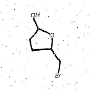 OC1CCC(CBr)O1